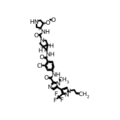 C=CCn1cc(-c2cnc(C(=O)Nc3ccc(C(=O)N[C@@H]4[C@@H]5CN(C(=O)N[C@@H]6CNC[C@H]6OC=O)C[C@@H]54)c(Cl)c3)n2C)c(C(F)(F)F)n1